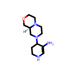 NC1=CNCCC1N1CCN2CCOC[C@@H]2C1